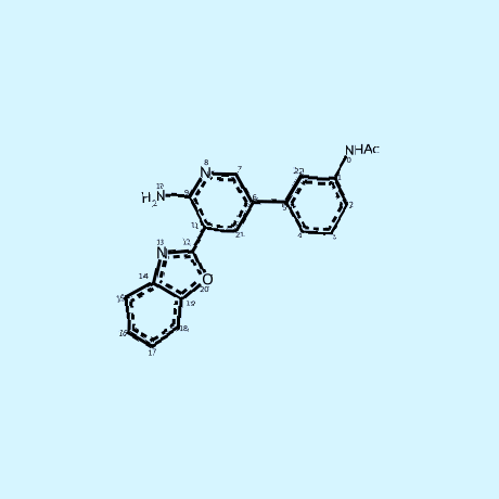 CC(=O)Nc1cccc(-c2cnc(N)c(-c3nc4ccccc4o3)c2)c1